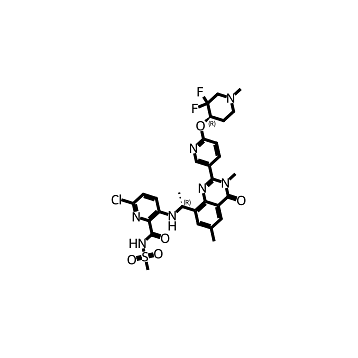 Cc1cc([C@@H](C)Nc2ccc(Cl)nc2C(=O)NS(C)(=O)=O)c2nc(-c3ccc(O[C@@H]4CCN(C)CC4(F)F)nc3)n(C)c(=O)c2c1